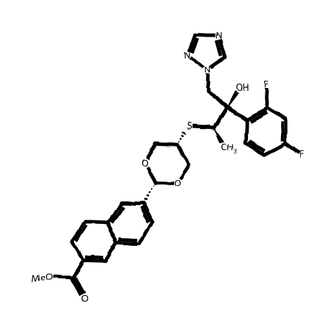 COC(=O)c1ccc2cc([C@H]3OC[C@@H](S[C@H](C)[C@](O)(Cn4cncn4)c4ccc(F)cc4F)CO3)ccc2c1